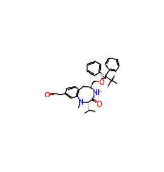 CC(C)[C@H]1C(=O)N[C@H](CO[Si](c2ccccc2)(c2ccccc2)C(C)(C)C)Cc2ccc(CC=O)cc2N1C